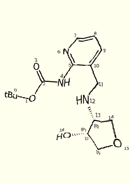 CC(C)(C)OC(=O)Nc1ncccc1CN[C@@H]1COC[C@@H]1O